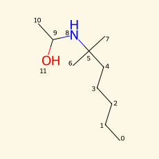 CCCCCC(C)(C)NC(C)O